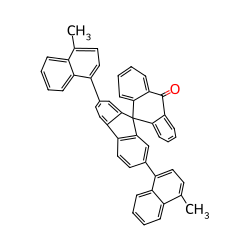 Cc1ccc(-c2ccc3c(c2)C2(c4ccccc4C(=O)c4ccccc42)c2cc(-c4ccc(C)c5ccccc45)ccc2-3)c2ccccc12